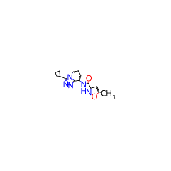 Cc1cc(C(=O)Nc2cccn3c(C4CCC4)nnc23)no1